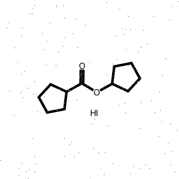 I.O=C(OC1CCCC1)C1CCCC1